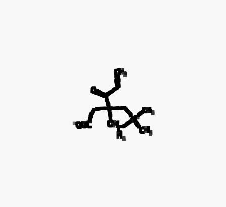 C=CC(=O)C(O)(CC(=O)[O-])C[N+](C)(C)C